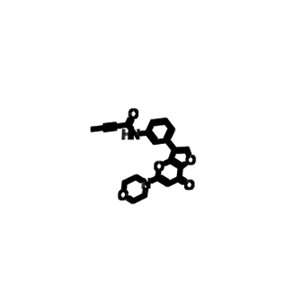 CC#CC(=O)Nc1cccc(-c2coc3c(=O)cc(N4CCOCC4)oc23)c1